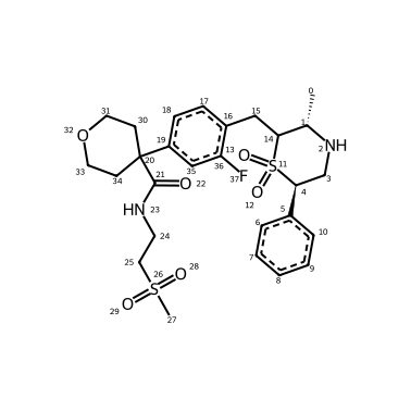 C[C@@H]1NC[C@@H](c2ccccc2)S(=O)(=O)C1Cc1ccc(C2(C(=O)NCCS(C)(=O)=O)CCOCC2)cc1F